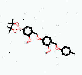 COc1cc(OCc2ccc(B3OC(C)(C)C(C)(C)O3)cc2OC)ccc1COc1ccc(C)cc1